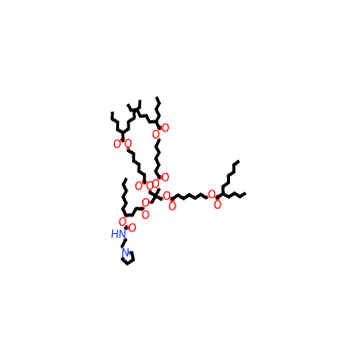 CCCCCCC(CCC(=O)OCC(COC(=O)CCCCCCOC(=O)C(CCCC)CCCCCC)(COC(=O)CCCCCCOC(=O)C(CCCC)CCCCCC)COC(=O)CCCCCCOC(=O)C(CCCC)CCCCCC)OC(=O)NCCN1CCCC1